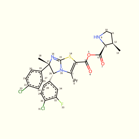 CC(C)C1=C(C(=O)OC(=O)[C@H]2NCC[C@H]2C)SC2=N[C@@](C)(c3ccc(Cl)cc3)[C@@H](c3ccc(Cl)c(F)c3)N21